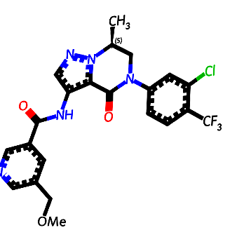 COCc1cncc(C(=O)Nc2cnn3c2C(=O)N(c2ccc(C(F)(F)F)c(Cl)c2)C[C@@H]3C)c1